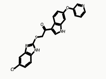 O=C(CSc1nc2cc(Cl)ccc2[nH]1)c1c[nH]c2cc(Oc3cccnc3)ccc12